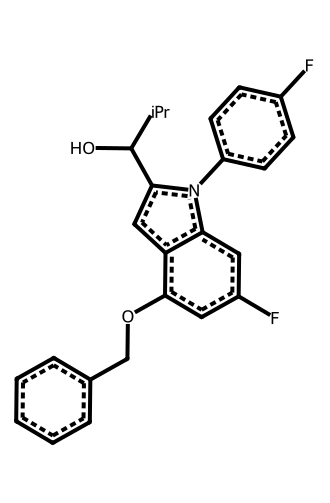 CC(C)C(O)c1cc2c(OCc3ccccc3)cc(F)cc2n1-c1ccc(F)cc1